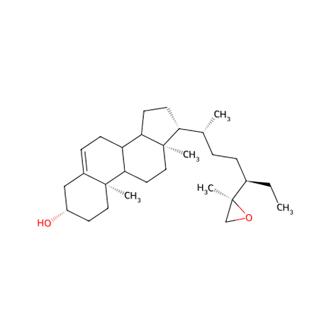 CC[C@H](CC[C@@H](C)[C@H]1CCC2C3CC=C4C[C@@H](O)CC[C@]4(C)C3CC[C@@]21C)[C@]1(C)CO1